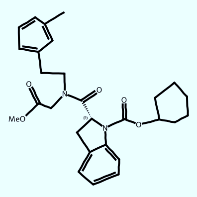 COC(=O)CN(CCc1cccc(C)c1)C(=O)[C@H]1Cc2ccccc2N1C(=O)OC1CCCCC1